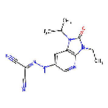 CCn1c(=O)n(C(C)C)c2cc(NN=C(C#N)C#N)cnc21